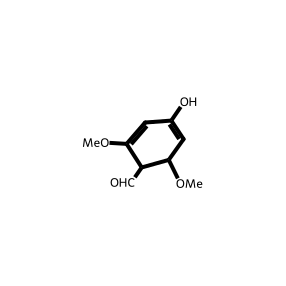 COC1=CC(O)=CC(OC)C1C=O